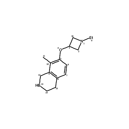 CCN1CC(Oc2ccc3c(c2C)CBCC3)C1